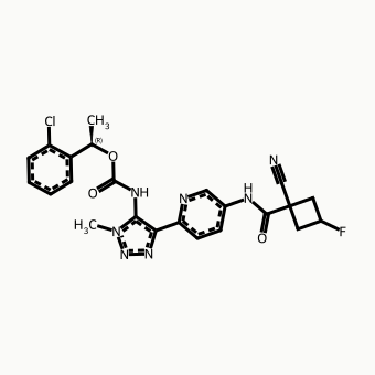 C[C@@H](OC(=O)Nc1c(-c2ccc(NC(=O)C3(C#N)CC(F)C3)cn2)nnn1C)c1ccccc1Cl